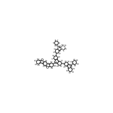 C1=Cc2c(n(-c3ccccc3)c3ccc(-c4ccc5c(c4)c4cc(-c6ccc7c(c6)c6ccccc6n7-c6ccccc6)ccc4n5-c4ccc5oc6cc7c(cc6c5c4)oc4ccccc47)cc23)CC1